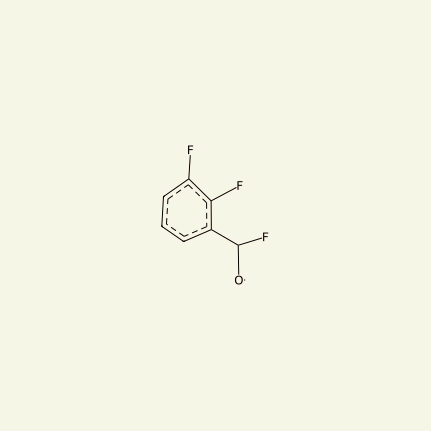 [O]C(F)c1cccc(F)c1F